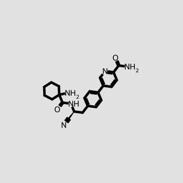 N#C[C@H](Cc1ccc(-c2ccc(C(N)=O)nc2)cc1)NC(=O)C1(N)CCCCC1